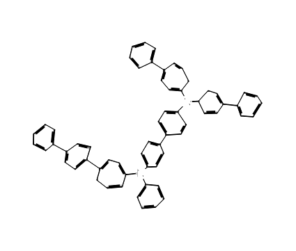 C1=CC(N(c2ccccc2)c2ccc(-c3ccc(N(C4=CC=C(c5ccccc5)C=CC4)C4C=CC(c5ccccc5)=CC4)cc3)cc2)=CC=C(c2ccc(-c3ccccc3)cc2)C1